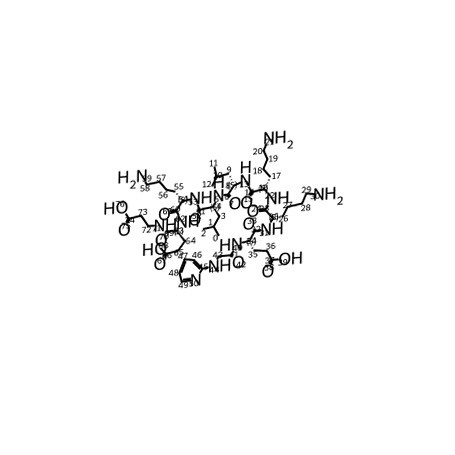 CC(C)C[C@H](NC(=O)[C@H](CC(C)C)NC(=O)[C@H](CCCCN)NC(=O)[C@H](CCCCN)NC(=O)[C@H](CCC(=O)O)NC(=O)CNc1ccccn1)C(=O)N[C@@H](CCCCN)C(=O)N[C@@H](CCC(=O)O)C(=O)NCCC(=O)O